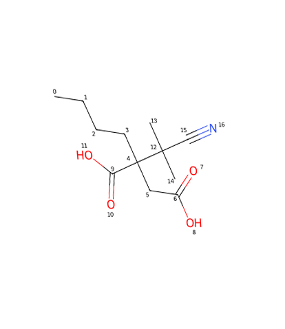 CCCCC(CC(=O)O)(C(=O)O)C(C)(C)C#N